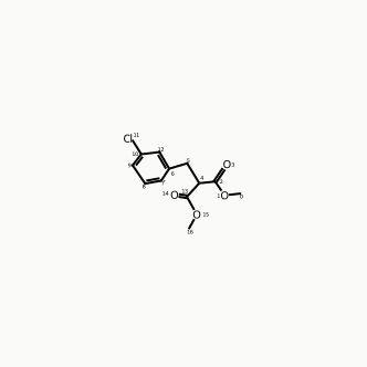 COC(=O)C(Cc1[c]ccc(Cl)c1)C(=O)OC